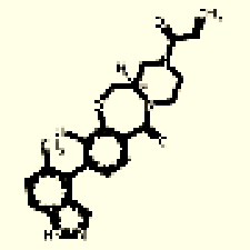 C=CC(=O)N1CCN2C(=O)c3ccc(-c4c(C)ccc5[nH]ncc45)c(Cl)c3OC[C@H]2C1